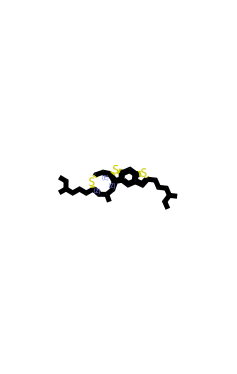 CCC(C)CCC/C1=C/C(C)/C=c2\c(sc3cc4sc(CCCC(C)CC)cc4cc23)=C/CS1